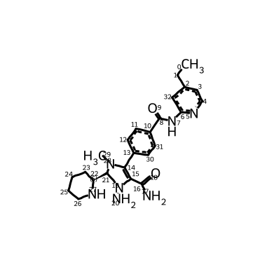 CCc1ccnc(NC(=O)c2ccc(C3=C(C(N)=O)N(N)C([C@@H]4CCCCN4)N3C)cc2)c1